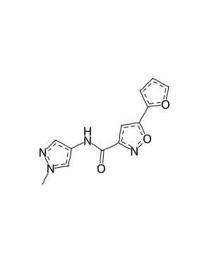 Cn1cc(NC(=O)c2cc(-c3ccco3)on2)cn1